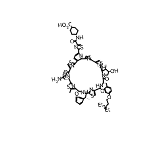 CCN(CC)CCOc1ccc(C[C@@H]2NC(=O)c3csc(n3)[C@H]([C@H](C)c3ccccc3)NC(=O)c3nc(sc3C)[C@H](CC(N)=O)NC(=O)c3csc(n3)-c3ccc(-c4nc(C(=O)N[C@H]5CC[C@H](C(=O)O)CC5)cs4)nc3-c3csc(n3)-c3csc(n3)[C@@H]3[C@@H](C)[C@@H](O)CN3C2=O)cc1